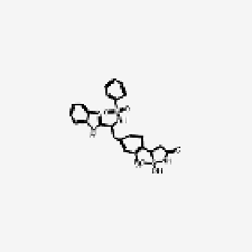 O=C1CC(c2ccc(CC(NS(=O)(=O)c3ccccc3)c3nc4ccccc4[nH]3)cc2Br)S(O)(O)N1